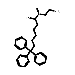 CN(CCN)C(S)CCCCCC(c1ccccc1)(c1ccccc1)c1ccccc1